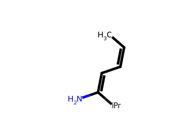 C/C=C\C=C(\N)C(C)C